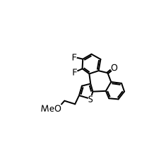 COCCc1cc2c(s1)c1ccccc1c(=O)c1ccc(F)c(F)c12